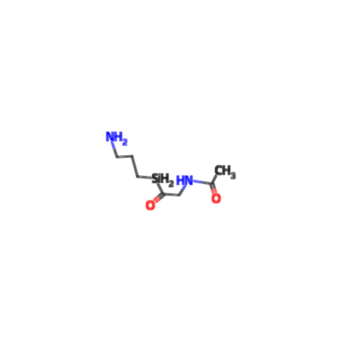 CC(=O)NCC(=O)[SiH2]CCCN